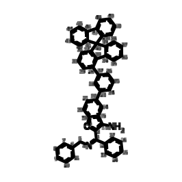 Nc1c(/C(=N\Cc2ccccc2)c2ccccc2)oc2ccc(-c3cccc(-c4cccc5c4-c4ccccc4C54c5ccccc5-c5ccccc54)c3)cc12